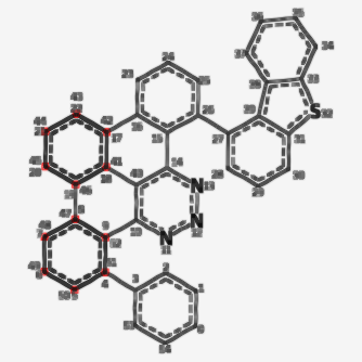 c1ccc(-c2ccccc2-c2nnnc(-c3c(-c4ccccc4)cccc3-c3cccc4sc5ccccc5c34)c2-c2ccccc2-c2ccccc2)cc1